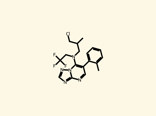 Cc1ccccc1-c1cnc2ncnn2c1N(CC(C)CCl)CC(F)(F)F